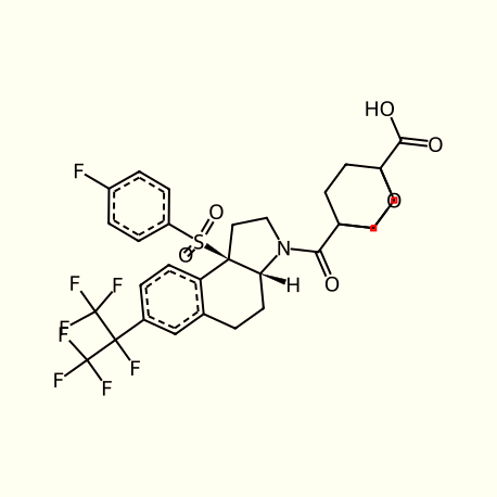 O=C(N1CC[C@@]2(S(=O)(=O)c3ccc(F)cc3)c3ccc(C(F)(C(F)(F)F)C(F)(F)F)cc3CC[C@@H]12)C12CCC(C(=O)O)(CC1)OC2